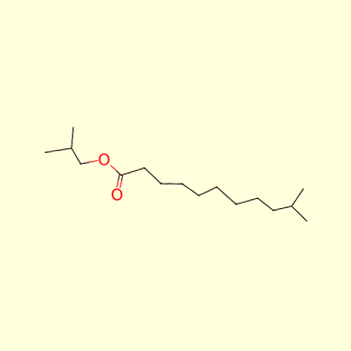 CC(C)CCCCCCCCC(=O)OCC(C)C